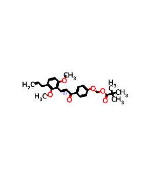 C=CCc1ccc(OC)c(/C=C/C(=O)c2ccc(OCOC(=O)C(C)(C)C)cc2)c1OC